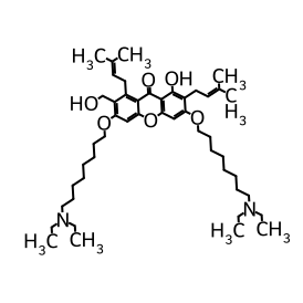 CCN(CC)CCCCCCCCOc1cc2oc3cc(OCCCCCCCCN(CC)CC)c(CO)c(CC=C(C)C)c3c(=O)c2c(O)c1CC=C(C)C